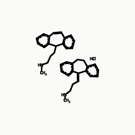 CNCCC=C1c2ccccc2CCc2ccccc21.CNCCCC1c2ccccc2C=Cc2ccccc21.Cl